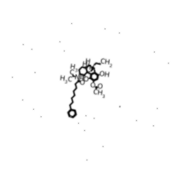 C=CCN1CC[C@]23c4c5c(O)cc(OC(C)=O)c4O[C@H]2[C@@H](N(C(=O)CCCCCCCc2ccccc2)C(C)C)CC[C@H]3[C@H]1C5